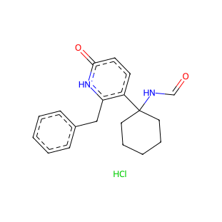 Cl.O=CNC1(c2ccc(=O)[nH]c2Cc2ccccc2)CCCCC1